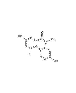 Cn1c(=O)c2cc(O)cc(F)c2c2ccc(O)cc21